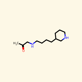 CC(=O)CNCCCCC1CCCNC1